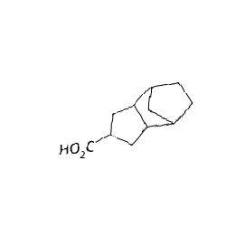 O=C(O)C1CC2C3CCC(C3)C2C1